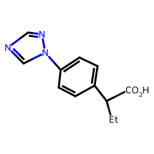 CCC(C(=O)O)c1ccc(-n2cncn2)cc1